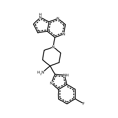 NC1(c2nc3ccc(F)cc3[nH]2)CCN(c2ncnc3[nH]ccc23)CC1